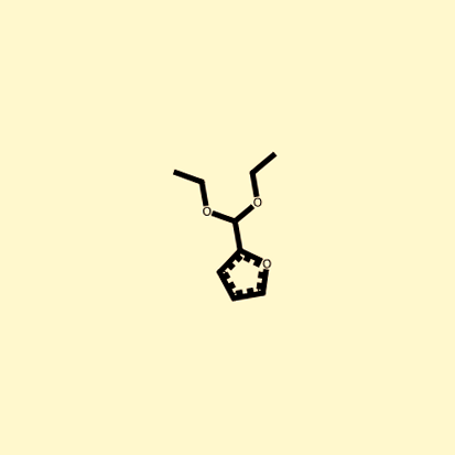 CCOC(OCC)c1ccco1